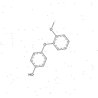 COc1ccccc1Oc1ccc(O)cc1